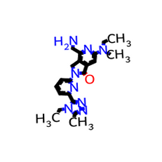 CCN(C)c1cc2c(c(CN)n1)CN(c1cccc(-c3nnc(C)n3CC)n1)C2=O